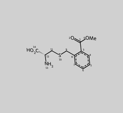 COC(=O)c1ccccc1CSC[C@H](N)C(=O)O